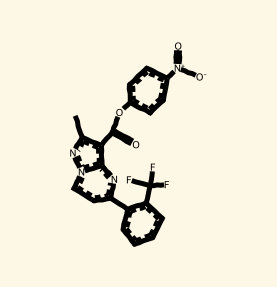 Cc1nn2ccc(-c3ccccc3C(F)(F)F)nc2c1C(=O)Oc1ccc([N+](=O)[O-])cc1